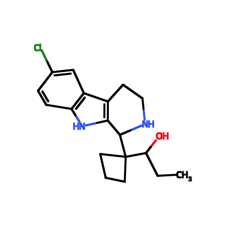 CCC(O)C1(C2NCCc3c2[nH]c2ccc(Cl)cc32)CCC1